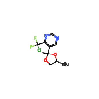 CCCCC1COC(C)(c2cncnc2C(F)(F)Cl)O1